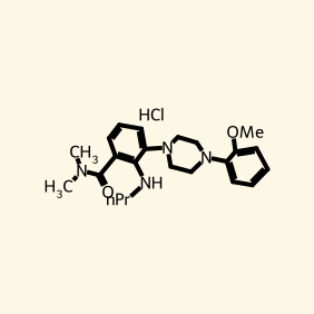 CCCNc1c(C(=O)N(C)C)cccc1N1CCN(c2ccccc2OC)CC1.Cl